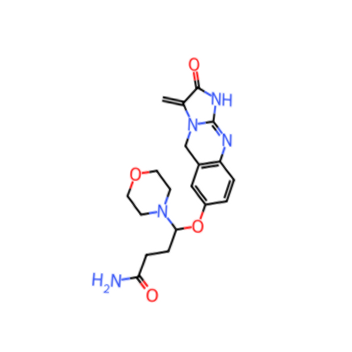 C=c1c(=O)[nH]c2n1Cc1cc(OC(CCC(N)=O)N3CCOCC3)ccc1N=2